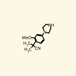 COc1cc(N2CCNCC2)ccc1C(C)(C)C#N